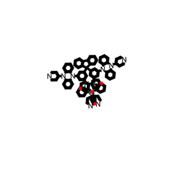 c1ccc2c(c1)-c1ccccc1C2(c1cc(N2c3ccccc3N(c3ccncc3)c3ccccc32)cc(N2c3ccccc3N(c3ccncc3)c3ccccc32)c1)c1cc(N2c3ccccc3N(c3ccncc3)c3ccccc32)cc(N2c3ccccc3N(c3ccncc3)c3ccccc32)c1